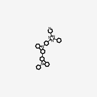 c1ccc(-c2nc(-c3ccncc3)nc(-c3ccc(-n4c5ccccc5c5cc(-c6ccc7c(c6)c6ccccc6n7-c6ccccc6)ccc54)cc3)n2)cc1